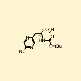 CC(C)(C)OC(=O)N[C@@H](Cc1cnc(C#N)cn1)C(=O)O